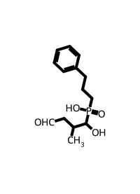 CC(CC=O)C(O)P(=O)(O)CCCc1ccccc1